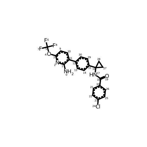 Nc1nc(OC(F)(F)F)ccc1-c1ccc(C2(NC(=O)c3ccc(Cl)cc3)CC2)cc1